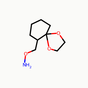 NOCC1CCCCC12OCCO2